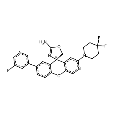 NC1=N[C@@]2(CO1)c1cc(-c3cncc(F)c3)ccc1Oc1cnc(N3CCC(F)(F)CC3)cc12